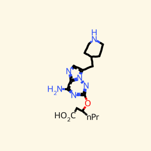 CCCC(CC(=O)O)Oc1nc(N)c2ncc(CC3CCNCC3)n2n1